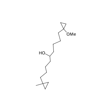 COC1(CCCCC(O)CCCCC2(C)CC2)CC1